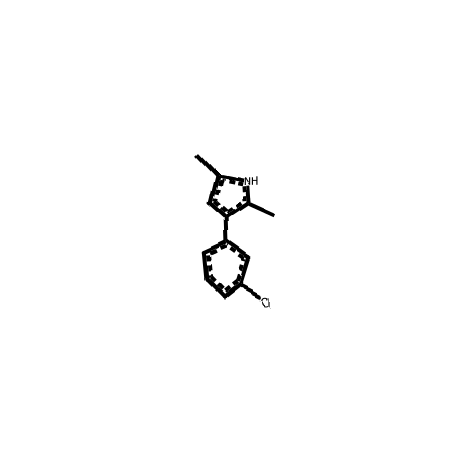 Cc1cc(-c2cc[c]c(Cl)c2)c(C)[nH]1